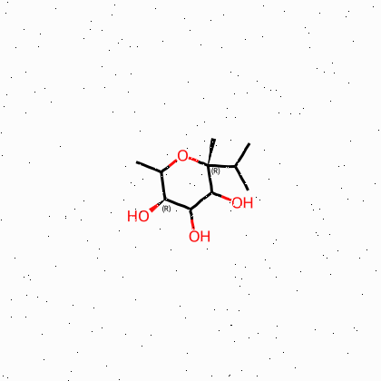 CC1O[C@](C)(C(C)C)C(O)C(O)[C@H]1O